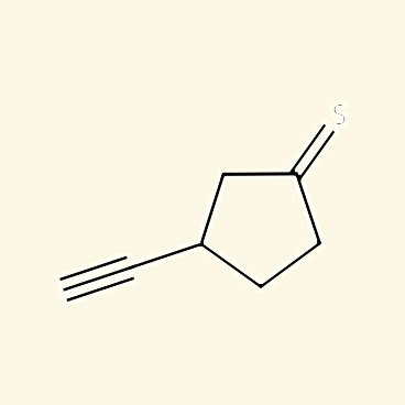 C#CC1CCC(=S)C1